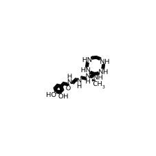 CCNC1(CNCCNCCNC(=O)Cc2ccc(O)c(O)c2)CNCCNCCCNCCNC1